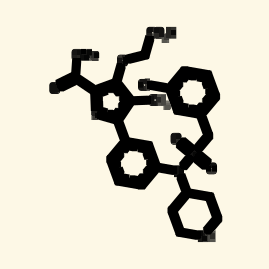 COC(=O)c1sc(-c2cccc(N(C3CCNCC3)S(=O)(=O)Cc3cccc(Cl)c3)c2)c(C)c1OCC(=O)O